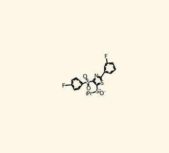 CC(C)[S+]([O-])c1sc(-c2cccc(F)c2)nc1S(=O)(=O)c1ccc(F)cc1